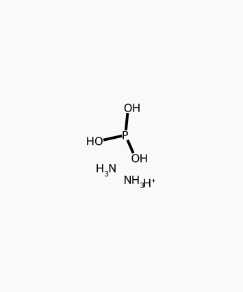 N.N.OP(O)O.[H+]